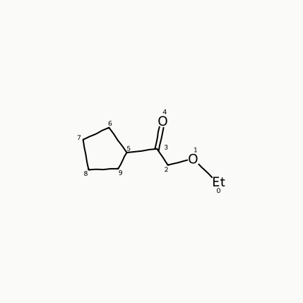 CCOCC(=O)C1CCCC1